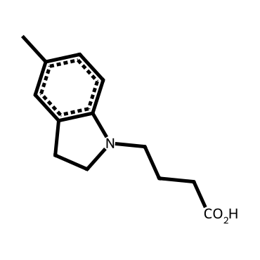 Cc1ccc2c(c1)CCN2CCCC(=O)O